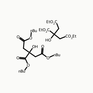 CCCCOC(=O)CC(O)(CC(=O)OCCCC)C(=O)OCCCC.CCOC(=O)CC(O)(CC(=O)OCC)C(=O)OCC